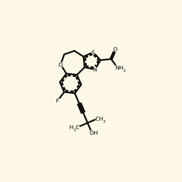 CC(C)(O)C#Cc1cc2c(cc1F)OCCc1sc(C(N)=O)nc1-2